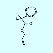 C=CCOC(=O)[C@]1(c2ccccc2)CO1